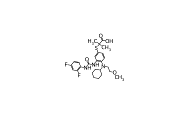 COCCN(c1ccc(SC(C)(C)C(=O)O)cc1NC(=O)Nc1ccc(F)cc1F)C1CCCCC1